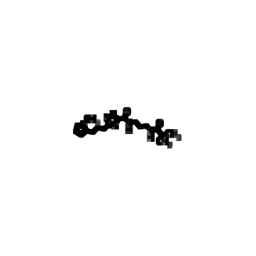 C=C(C)C(=O)NCCCNC(=O)c1nnn(CCCc2cccn2C)n1